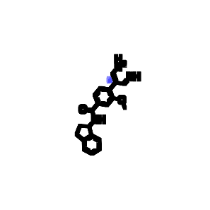 COc1cc(C(=O)NC2CCc3ccccc32)ccc1/C(C=N)=C/N